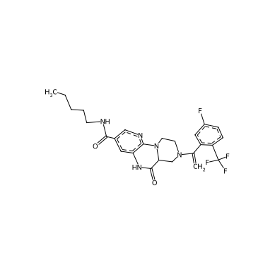 C=C(c1cc(F)ccc1C(F)(F)F)N1CCN2c3ncc(C(=O)NCCCCC)cc3NC(=O)C2C1